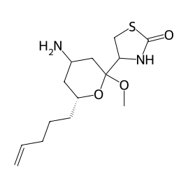 C=CCCC[C@@H]1CC(N)CC(OC)(C2CSC(=O)N2)O1